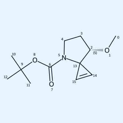 CO[C@H]1CCN(C(=O)OC(C)(C)C)C12C=C2